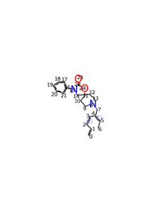 C=C/C=C\C(=C/C)CN1CCC2(CC1)CN(c1ccccc1)C(=O)O2